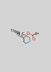 CCC(C)C(=O)OC1(C)CCCC=C1COC